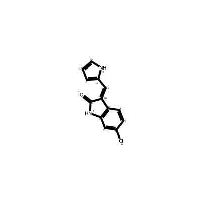 O=C1Nc2cc(Cl)ccc2/C1=C/c1ccc[nH]1